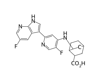 O=C(O)C1CC2CCC1C(Nc1cc(-c3c[nH]c4ncc(F)cc34)ncc1F)C2